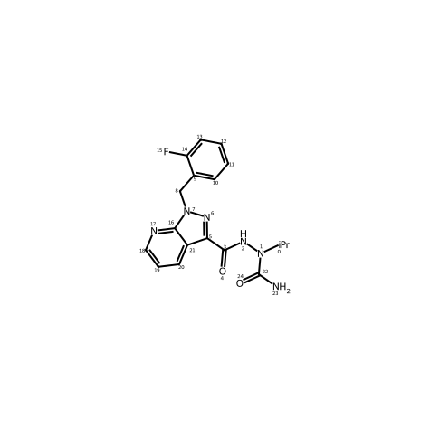 CC(C)N(NC(=O)c1nn(Cc2ccccc2F)c2ncccc12)C(N)=O